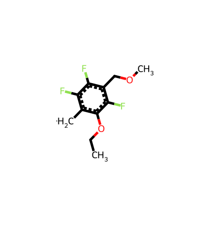 [CH2]c1c(F)c(F)c(COC)c(F)c1OCC